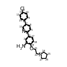 Nc1cc(-c2ccc(-c3ccc(Cl)cc3)cn2)ccc1OCCN1CCCC1